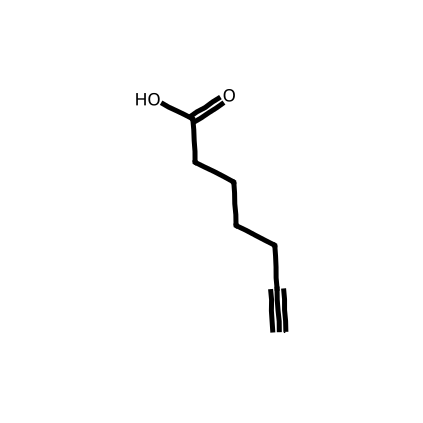 [C]#CCCCCC(=O)O